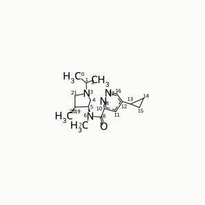 CC(C)N1C[C@@H](N(C)C(=O)c2cc(C3CC3)cnn2)[C@@H](C)C1